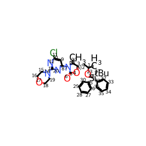 CC(C[C@@H]1OC(=O)N(c2cc(Cl)nc(N3CCOCC3)n2)[C@H]1C)O[Si](c1ccccc1)(c1ccccc1)C(C)(C)C